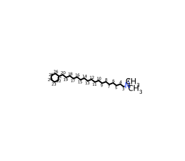 CN(C)CCCCCCCCCCCCCCCCCCC1CCCCC1